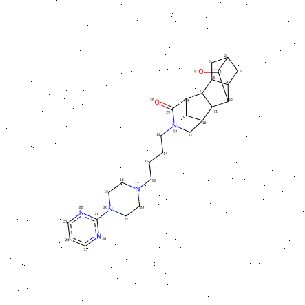 O=C1C2CC3C(C2)C2C4CC(CN(CCCCN5CCN(c6ncccn6)CC5)C4=O)C2C13